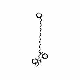 C=C[Si](CC(=O)CCCCCCCCCCCCCCc1ccccc1)(c1ccccc1)c1ccccc1